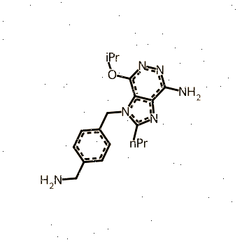 CCCc1nc2c(N)nnc(OC(C)C)c2n1Cc1ccc(CN)cc1